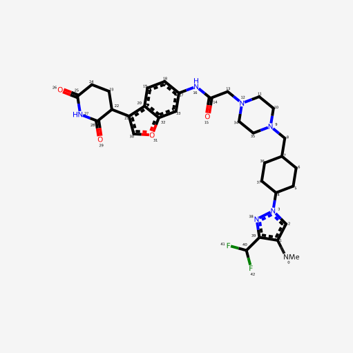 CNc1cn(C2CCC(CN3CCN(CC(=O)Nc4ccc5c(C6CCC(=O)NC6=O)coc5c4)CC3)CC2)nc1C(F)F